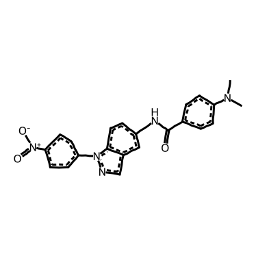 CN(C)c1ccc(C(=O)Nc2ccc3c(cnn3-c3ccc([N+](=O)[O-])cc3)c2)cc1